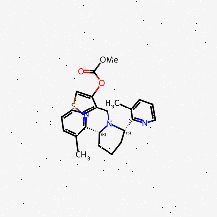 COC(=O)Oc1cscc1CN1[C@@H](c2ncccc2C)CCC[C@H]1c1ncccc1C